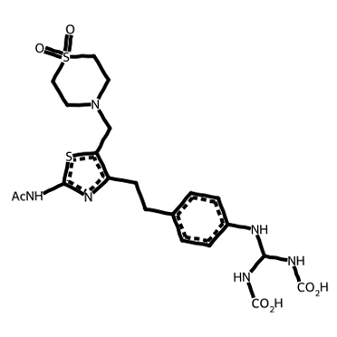 CC(=O)Nc1nc(CCc2ccc(NC(NC(=O)O)NC(=O)O)cc2)c(CN2CCS(=O)(=O)CC2)s1